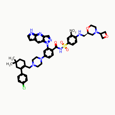 CC1(C)CCC(CN2CCN(c3ccc(C(=O)NS(=O)(=O)c4ccc(NC[C@@H]5CN(C6COC6)CCO5)c([N+](=O)[O-])c4)c(-n4ncc5nc6[nH]ccc6cc54)c3)CC2)=C(c2ccc(Cl)cc2)C1